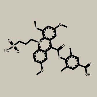 COc1ccc2c(c1)c(C(=O)Oc1c(C)cc(C(=O)O)cc1C)c1cc(OC)cc(OC)c1[n+]2CCCS(=O)(=O)O